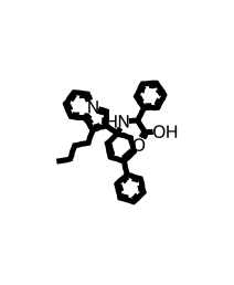 CCCCc1c(C2(NC(C(=O)O)c3ccccc3)C=CC(c3ccccc3)=CC2)cn2ccccc12